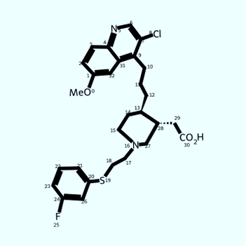 COc1ccc2ncc(Cl)c(CCC[C@@H]3CCN(CCSc4cccc(F)c4)C[C@H]3CC(=O)O)c2c1